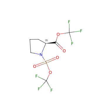 O=C(OC(F)(F)F)[C@@H]1CCCN1S(=O)(=O)OC(F)(F)F